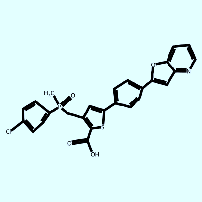 CP(=O)(Cc1cc(-c2ccc(-c3cc4ncccc4o3)cc2)sc1C(=O)O)c1ccc(Cl)cc1